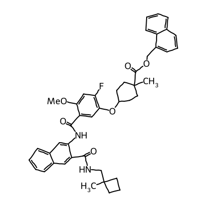 COc1cc(F)c(OC2CCC(C)(C(=O)OCc3cccc4ccccc34)CC2)cc1C(=O)Nc1cc2ccccc2cc1C(=O)NCC1(C)CCC1